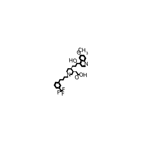 COc1ccc2nccc([C@@H](O)CC[C@@H]3CCN(CCCCc4cccc(C(F)(F)F)c4)C[C@@H]3CC(=O)O)c2c1